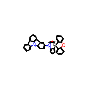 c1ccc2c(c1)Oc1ccccc1[Si]21c2ccccc2N(c2ccc3c(c2)c2cccc4c5ccccc5n3c42)c2ccccc21